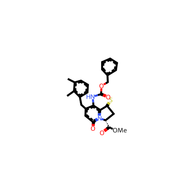 COC(=O)[C@H]1CC(=S)c2c(NC(=O)OCc3ccccc3)c(Cc3cccc(C)c3C)cc(=O)n21